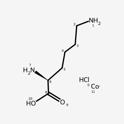 Cl.NCCCC[C@H](N)C(=O)O.[Co]